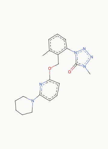 Cc1cccc(-n2nnn(C)c2=O)c1COc1cccc(N2CCCCC2)n1